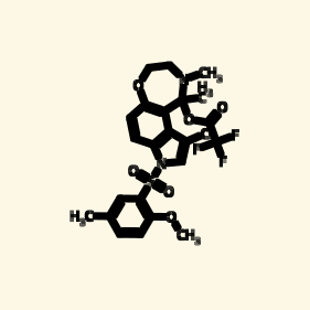 COc1ccc(C)cc1S(=O)(=O)n1cc(Cl)c2c3c(ccc21)OCCN(C)C3(C)OC(=O)C(F)(F)F